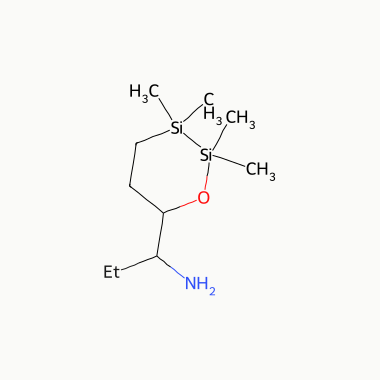 CCC(N)C1CC[Si](C)(C)[Si](C)(C)O1